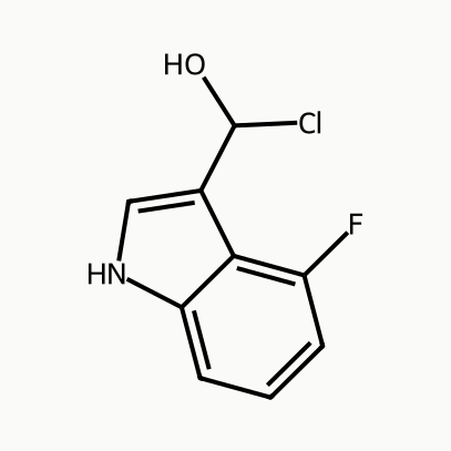 OC(Cl)c1c[nH]c2cccc(F)c12